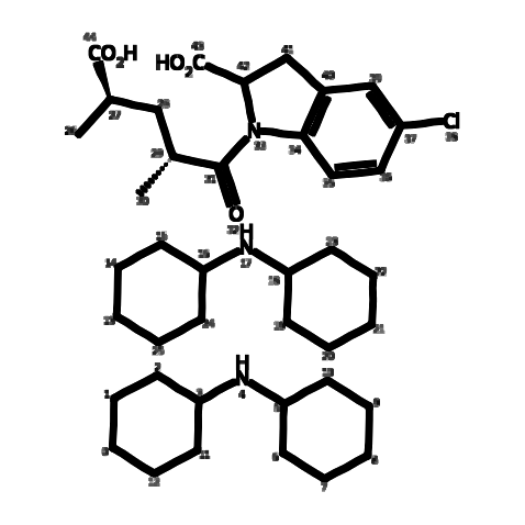 C1CCC(NC2CCCCC2)CC1.C1CCC(NC2CCCCC2)CC1.C[C@H](C[C@@H](C)C(=O)N1c2ccc(Cl)cc2CC1C(=O)O)C(=O)O